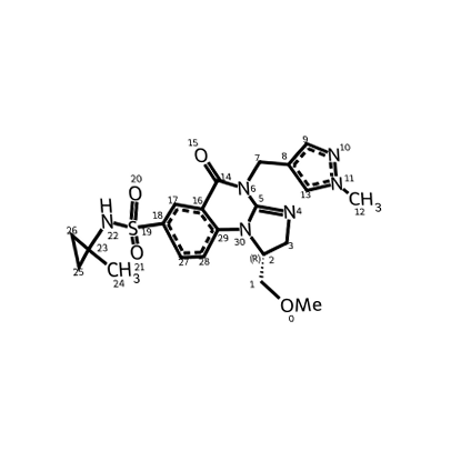 COC[C@H]1CN=C2N(Cc3cnn(C)c3)C(=O)c3cc(S(=O)(=O)NC4(C)CC4)ccc3N21